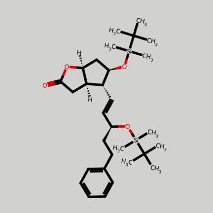 CC(C)(C)[Si](C)(C)O[C@H](C=C[C@@H]1[C@H]2CC(=O)O[C@H]2C[C@H]1O[Si](C)(C)C(C)(C)C)CCc1ccccc1